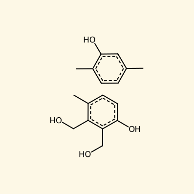 Cc1ccc(C)c(O)c1.Cc1ccc(O)c(CO)c1CO